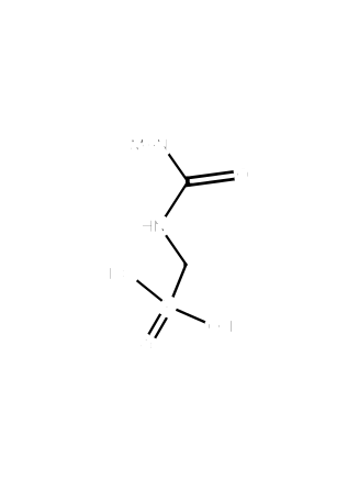 CNC(=O)NCP(=O)(O)O